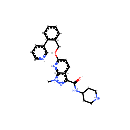 Cn1nc(C(=O)NC2CCNCC2)c2ccc(OCc3ccccc3-c3cccnc3)nc21